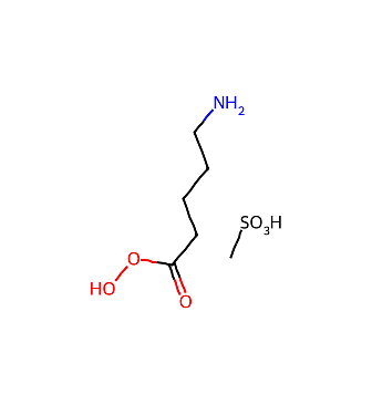 CS(=O)(=O)O.NCCCCC(=O)OO